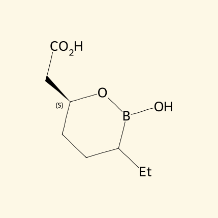 CCC1CC[C@@H](CC(=O)O)OB1O